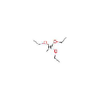 CC[O][Hf]([CH3])([O]CC)[O]CC